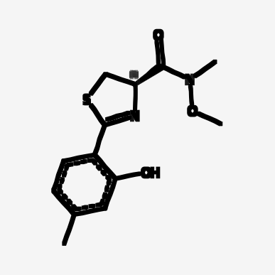 CON(C)C(=O)[C@@H]1CSC(c2ccc(C)cc2O)=N1